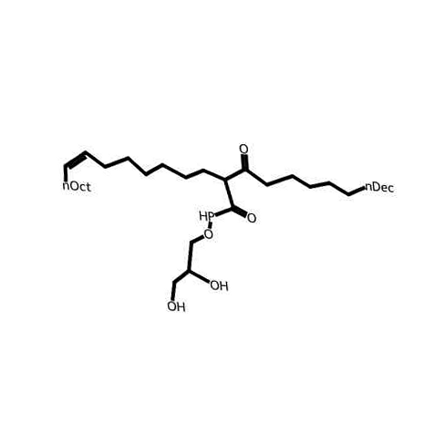 CCCCCCCC/C=C\CCCCCCC(C(=O)CCCCCCCCCCCCCCC)C(=O)POCC(O)CO